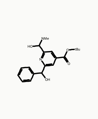 CNC(O)c1cc(C(=O)OC(C)(C)C)cc(C(O)c2ccccc2)n1